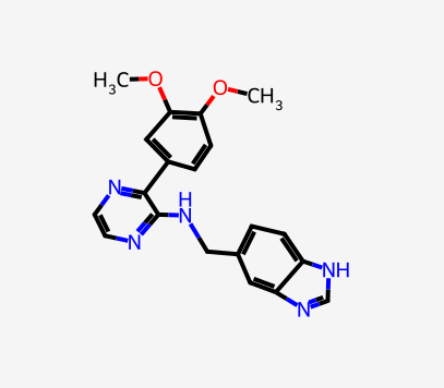 COc1ccc(-c2nccnc2NCc2ccc3[nH]cnc3c2)cc1OC